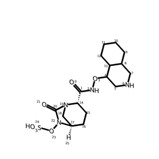 O=C(NOC1CNCC2CCCCC21)[C@@H]1CC[C@@H]2CN1C(=O)N2OS(=O)(=O)O